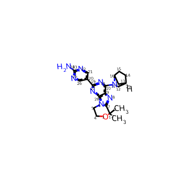 CC1(C)OCCn2c1nc1c(N3C[C@@H]4CCC3C4)nc(-c3cnc(N)nc3)nc12